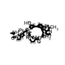 CCn1c(-c2cccnc2[C@H](C)OC)c2c3cc(ccc31)-c1cc(O)cc(c1)C[C@H](NC(=O)[C@H](C(C)C)N1CC[C@@]3(CCN(C(=O)[C@H]4CN4)C3)C1)C(=O)N1CCC[C@H](N1)C(=O)OCC(C)(C)C2